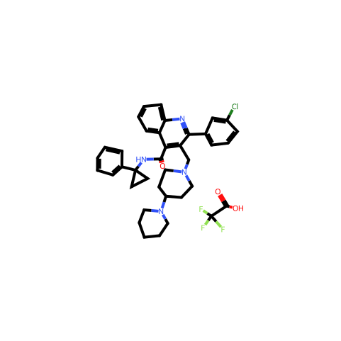 O=C(NC1(c2ccccc2)CC1)c1c(CN2CCC(N3CCCCC3)CC2)c(-c2cccc(Cl)c2)nc2ccccc12.O=C(O)C(F)(F)F